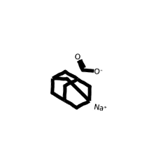 C1C2CC3CC1CC(C2)C3.O=C[O-].[Na+]